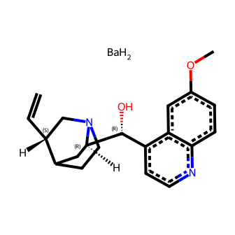 C=C[C@@H]1CN2CCC1C[C@@H]2[C@H](O)c1ccnc2ccc(OC)cc12.[BaH2]